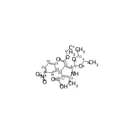 CCOC(=O)C1=C(C(OCC)OCC)NC(C)=C(C(=O)O)C1c1cccc([N+](=O)[O-])c1